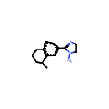 CC1CCCc2ccc(C3=NCCN3N)cc21